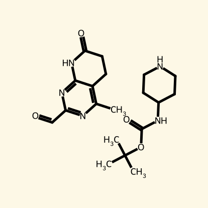 CC(C)(C)OC(=O)NC1CCNCC1.Cc1nc(C=O)nc2c1CCC(=O)N2